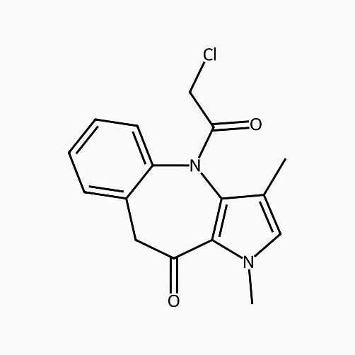 Cc1cn(C)c2c1N(C(=O)CCl)c1ccccc1CC2=O